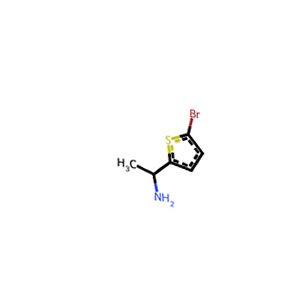 CC(N)c1ccc(Br)s1